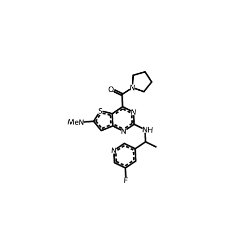 CNc1cc2nc(NC(C)c3cncc(F)c3)nc(C(=O)N3CCCC3)c2s1